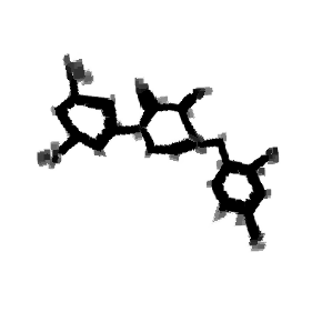 Cc1cc(C)cc(N2CCN(Cc3ccc(F)cc3Cl)C(=O)C2=O)c1